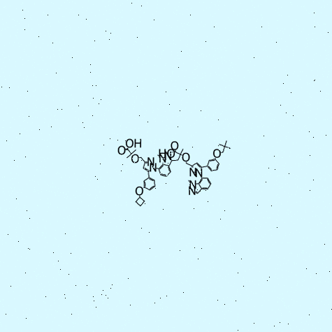 Cn1ncc2cccc(-n3nc(COC(C)(Cc4nn(C)c5c(-n6nc(COC(C)(C)C(=O)O)cc6-c6cccc(OC7CCC7)c6)cccc45)C(=O)O)cc3-c3cccc(OCC(C)(C)C)c3)c21